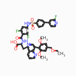 CCOCc1cc(OC)c(-c2cnc(CC(NC(=O)c3c(F)cc(NS(=O)(=O)c4ccc(-c5ccnc(F)c5)cc4)cc3F)C(=O)O)c3cccnc23)c(OC)c1